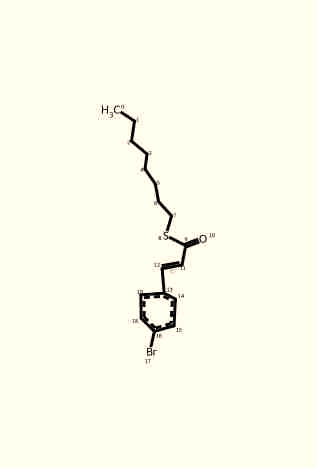 CCCCCCCCSC(=O)/C=C/c1ccc(Br)cc1